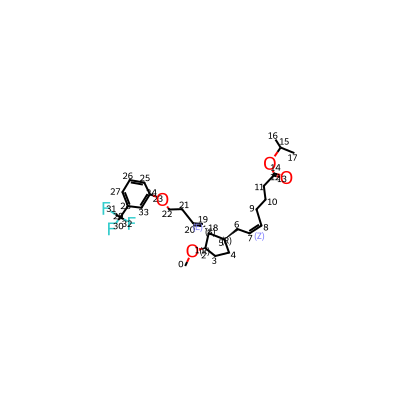 CO[C@@H]1CC[C@H](C/C=C\CCCC(=O)OC(C)C)[C@H]1/C=C/CCOc1cccc(C(F)(F)F)c1